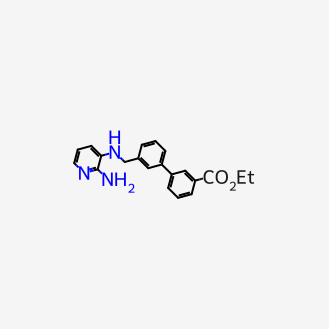 CCOC(=O)c1cccc(-c2cccc(CNc3cccnc3N)c2)c1